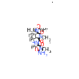 CCCC(=O)N(C)[C@H](CCC)C(=O)N(C)[C@@H](CC(C)C)C(=O)N[C@H](C(=O)N(C)C(N)=O)C(C)C